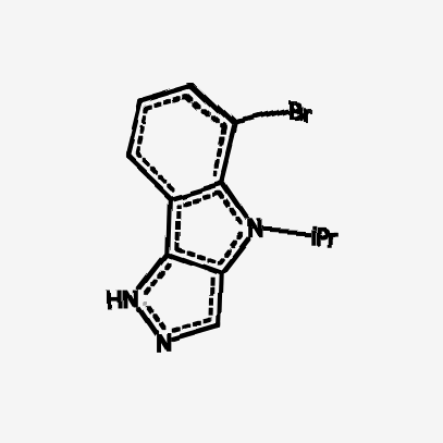 CC(C)n1c2cn[nH]c2c2cccc(Br)c21